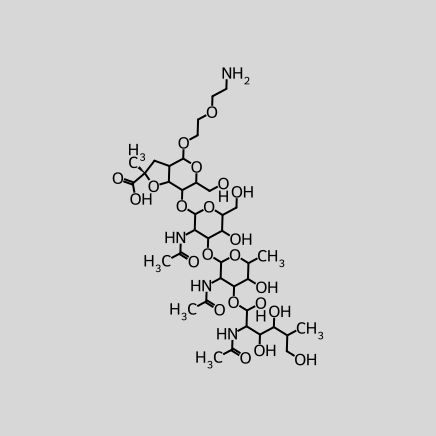 CC(=O)NC(C(O)OC1C(O)C(C)OC(OC2C(O)C(CO)OC(OC3C(CO)OC(OCCOCCN)C4C[C@@](C)(C(=O)O)OC43)C2NC(C)=O)C1NC(C)=O)C(O)C(O)C(C)CO